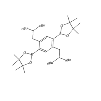 CCCCC(CCCC)Cc1cc(B2OC(C)(C)C(C)(C)O2)c(CC(CCCC)CCCC)cc1B1OC(C)(C)C(C)(C)O1